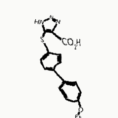 CCOc1ccc(-c2ccc(Sc3[nH]nnc3C(=O)O)cc2)cc1